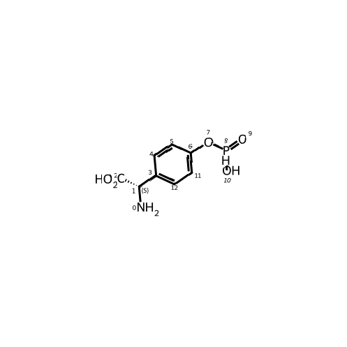 N[C@H](C(=O)O)c1ccc(O[PH](=O)O)cc1